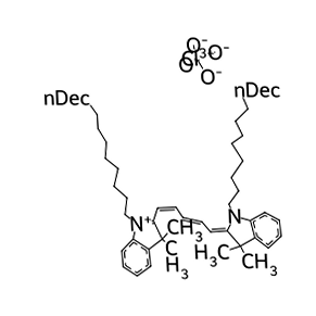 CCCCCCCCCCCCCCCCCCN1\C(=C/C=C/C=C\C2=[N+](CCCCCCCCCCCCCCCCCC)c3ccccc3C2(C)C)C(C)(C)c2ccccc21.[O-][Cl+3]([O-])([O-])[O-]